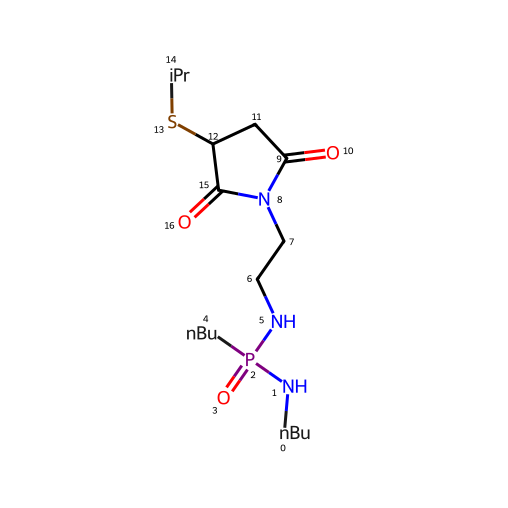 CCCCNP(=O)(CCCC)NCCN1C(=O)CC(SC(C)C)C1=O